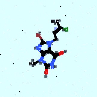 C/C(Cl)=C/Cn1c(Br)nc2c1c(=O)[nH]c(=O)n2C